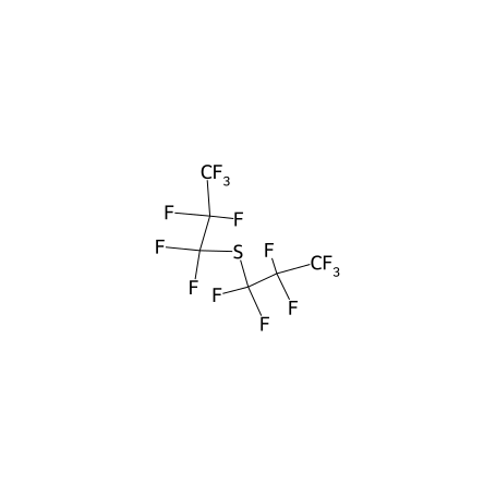 FC(F)(F)C(F)(F)C(F)(F)SC(F)(F)C(F)(F)C(F)(F)F